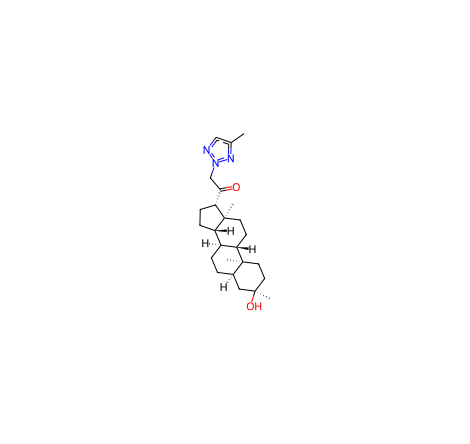 Cc1cnn(CC(=O)[C@H]2CC[C@H]3[C@@H]4CC[C@@H]5C[C@](C)(O)CC[C@]5(C)[C@H]4CC[C@]23C)n1